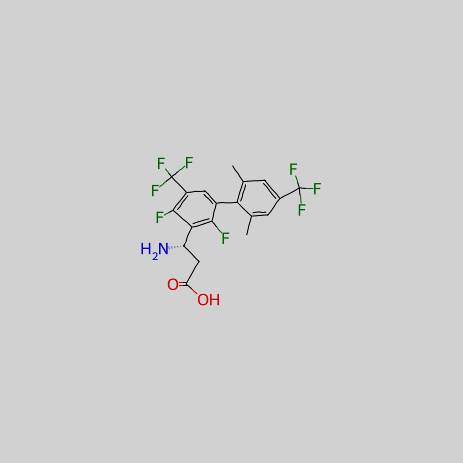 Cc1cc(C(F)(F)F)cc(C)c1-c1cc(C(F)(F)F)c(F)c([C@@H](N)CC(=O)O)c1F